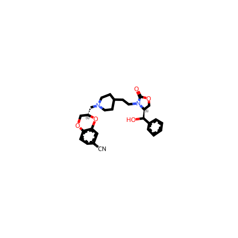 N#Cc1ccc2c(c1)O[C@@H](CN1CCC(CCN3C(=O)OC[C@H]3C(O)c3ccccc3)CC1)CO2